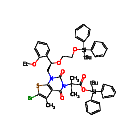 CCOc1ccccc1[C@H](Cn1c(=O)n(C(C)(C)C(=O)O[Si](c2ccccc2)(c2ccccc2)C(C)(C)C)c(=O)c2c(C)c(Br)sc21)OCCO[Si](c1ccccc1)(c1ccccc1)C(C)(C)C